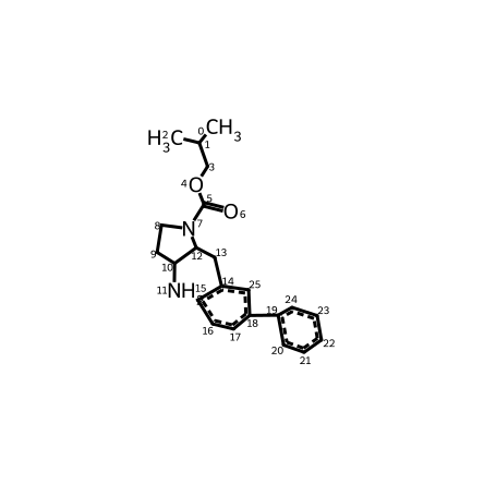 CC(C)COC(=O)N1CCC(N)C1Cc1cccc(-c2ccccc2)c1